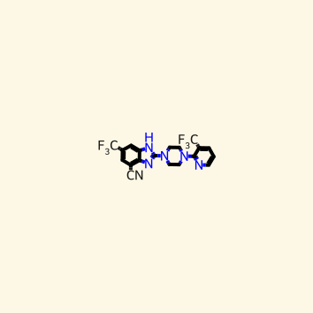 N#Cc1cc(C(F)(F)F)cc2[nH]c(N3CCN(c4ncccc4C(F)(F)F)CC3)nc12